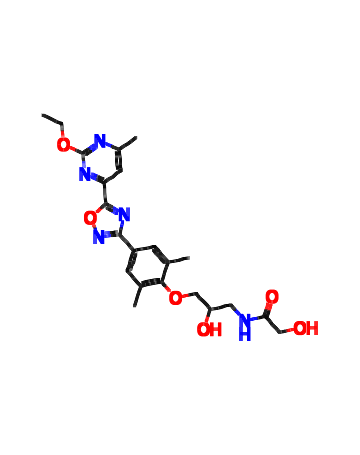 CCOc1nc(C)cc(-c2nc(-c3cc(C)c(OCC(O)CNC(=O)CO)c(C)c3)no2)n1